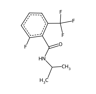 CC(C)NC(=O)c1c(F)cccc1C(F)(F)F